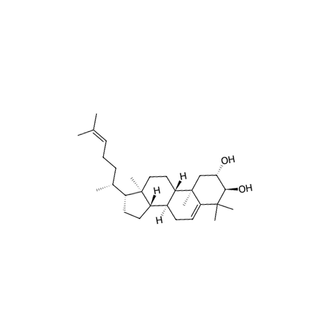 CC(C)=CCC[C@@H](C)[C@H]1CC[C@H]2[C@@H]3CC=C4C(C)(C)[C@H](O)[C@@H](O)C[C@]4(C)[C@H]3CC[C@]12C